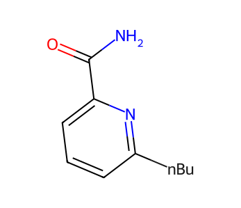 CCCCc1cccc(C(N)=O)n1